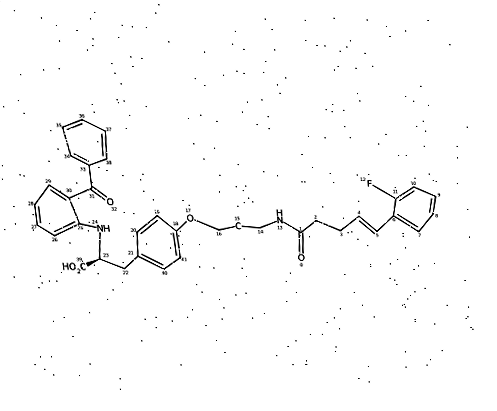 O=C(CCC=Cc1ccccc1F)NCCCOc1ccc(C[C@H](Nc2ccccc2C(=O)c2ccccc2)C(=O)O)cc1